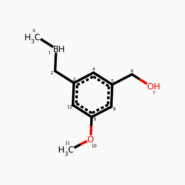 CBCc1cc(CO)cc(OC)c1